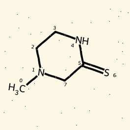 CN1CCNC(=S)C1